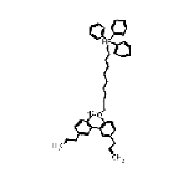 C=CCc1ccc(O)c(-c2cc(CC=C)ccc2OCCCCCCCCCC[PH](c2ccccc2)(c2ccccc2)c2ccccc2)c1